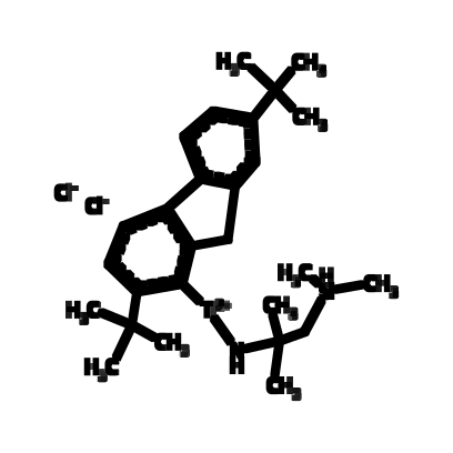 C[SiH](C)CC(C)(C)[NH][Ti+2][c]1c(C(C)(C)C)ccc2c1Cc1cc(C(C)(C)C)ccc1-2.[Cl-].[Cl-]